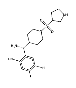 Cc1cc(O)c([C@H](N)C2CCN(S(=O)(=O)C3CCNC3)CC2)cc1Cl